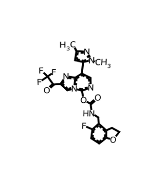 Cc1cc(-c2cnc(OC(=O)NCc3c(F)ccc4c3CCO4)n3cc(C(=O)C(F)(F)F)nc23)n(C)n1